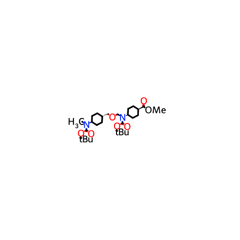 COC(=O)[C@H]1CC[C@H](N(COC[C@H]2CC[C@H](N(C)C(=O)OC(C)(C)C)CC2)C(=O)OC(C)(C)C)CC1